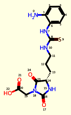 Nc1ccccc1NC(=S)NCCC[C@@H]1NC(=O)N(CC(=O)O)C1=O